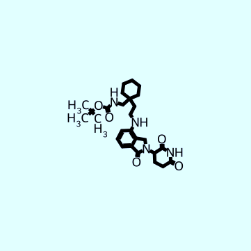 CC(C)(C)OC(=O)NCC1(CCNc2cccc3c2CN(C2CCC(=O)NC2=O)C3=O)CCCCC1